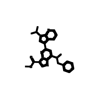 COC(=O)c1cnc2c(N(C)Cc3ccccc3)cc(-c3cn(C(C)C)c4ncccc34)nn12